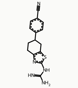 N#Cc1ccc(C2CCc3nc(NC(=N)N)sc3C2)cc1